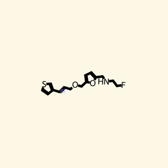 FCCNCc1ccc(COC/C=C/c2ccsc2)o1